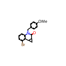 COc1ccc(CN2C(=O)C3CC3c3c(Br)cccc32)cc1